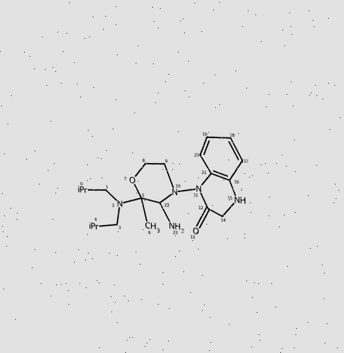 CC(C)CN(CC(C)C)C1(C)OCCN(N2C(=O)CNc3[c]cccc32)C1N